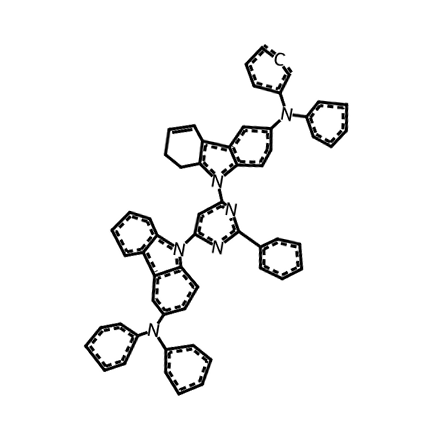 C1=Cc2c(n(-c3cc(-n4c5ccccc5c5cc(N(c6ccccc6)c6ccccc6)ccc54)nc(-c4ccccc4)n3)c3ccc(N(c4ccccc4)c4ccccc4)cc23)CC1